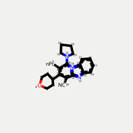 CCCc1c(C2CCOCC2)c(C#N)c2nc3ccccc3n2c1N1CCCC1